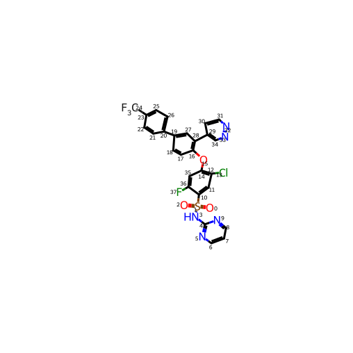 O=S(=O)(Nc1ncccn1)c1cc(Cl)c(Oc2ccc(-c3ccc(C(F)(F)F)cc3)cc2-c2ccnnc2)cc1F